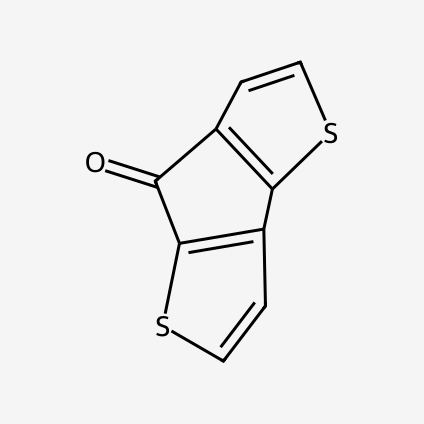 O=C1c2ccsc2-c2ccsc21